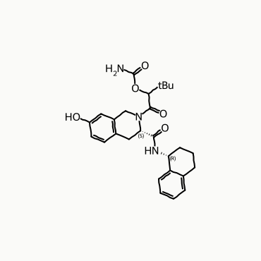 CC(C)(C)C(OC(N)=O)C(=O)N1Cc2cc(O)ccc2C[C@H]1C(=O)N[C@@H]1CCCc2ccccc21